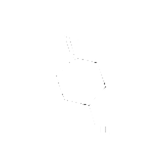 C=S1CCC(C)CC1